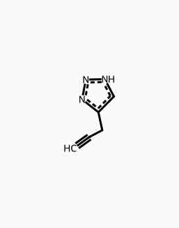 C#CCc1c[nH]nn1